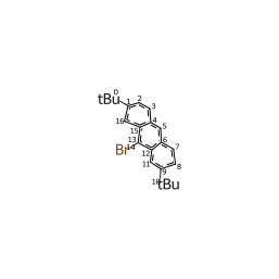 CC(C)(C)c1ccc2cc3ccc(C(C)(C)C)cc3c(Br)c2c1